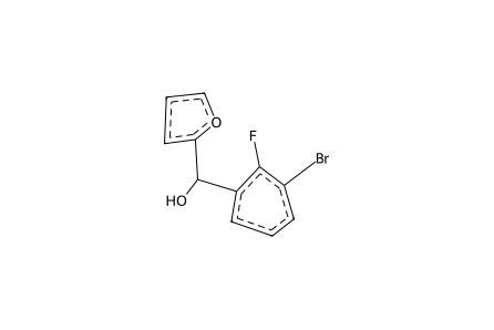 OC(c1ccco1)c1cccc(Br)c1F